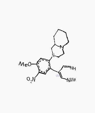 CN/C=C(\C=N)c1cc([N+](=O)[O-])c(OC)cc1N1CCN2CCCCC2C1